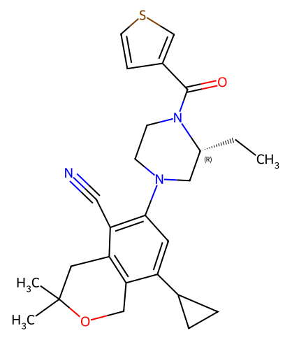 CC[C@@H]1CN(c2cc(C3CC3)c3c(c2C#N)CC(C)(C)OC3)CCN1C(=O)c1ccsc1